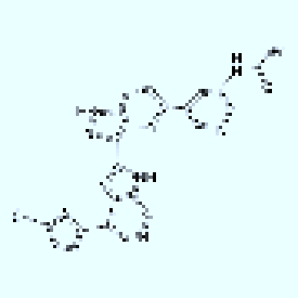 CC(C)C(=O)Nc1cncc(-c2ccc3[nH]nc(-c4nc5c(-c6ccc(Cl)s6)cncc5[nH]4)c3n2)c1